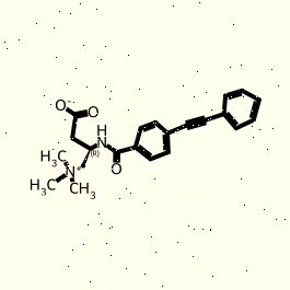 C[N+](C)(C)C[C@@H](CC(=O)[O-])NC(=O)c1ccc(C#Cc2ccccc2)cc1